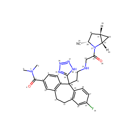 CN(C)C(=O)c1ccc2c(c1)CCc1cc(F)ccc1C2(CCNCC(=O)N1[C@H](C#N)C[C@@H]2C[C@@H]21)c1nnn[nH]1